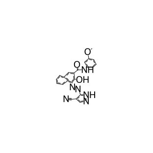 COc1cccc(NC(=O)c2cc3ccccc3c(/N=N/c3[nH]ncc3C#N)c2O)c1